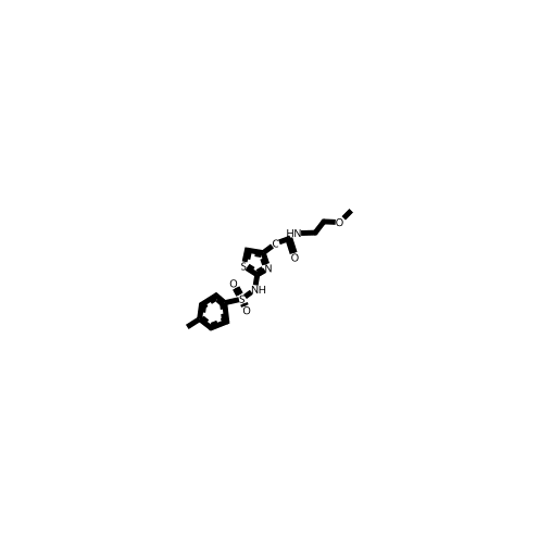 COCCNC(=O)Cc1csc(NS(=O)(=O)c2ccc(C)cc2)n1